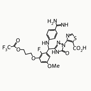 COc1cc(OCCCOC(=O)C(F)(F)F)c(F)c(C(Nc2ccc(C(=N)N)cc2)c2nn(-c3ncsc3C(=O)O)c(=O)[nH]2)c1